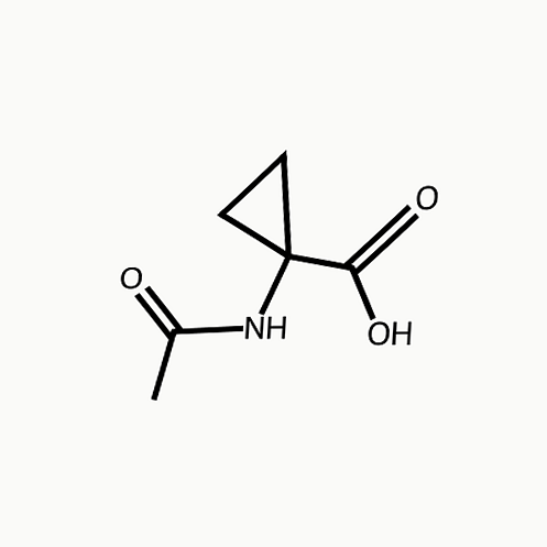 CC(=O)NC1(C(=O)O)CC1